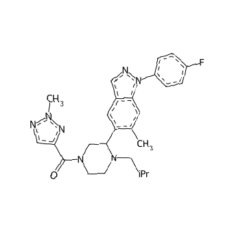 Cc1cc2c(cnn2-c2ccc(F)cc2)cc1C1CN(C(=O)c2cnn(C)n2)CCN1CC(C)C